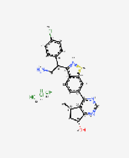 C[C@@H]1C[C@@H](O)c2ncnc(-c3ccc4c(C(CN)c5ccc(Cl)cc5)nsc4c3)c21.Cl.Cl.Cl